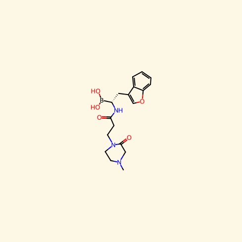 CN1CCN(CCC(=O)N[C@@H](Cc2coc3ccccc23)B(O)O)C(=O)C1